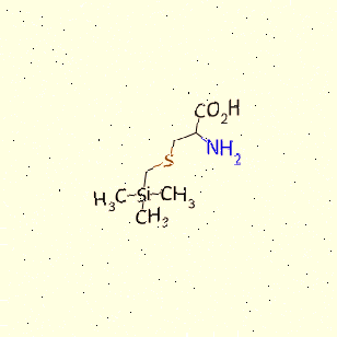 C[Si](C)(C)CSCC(N)C(=O)O